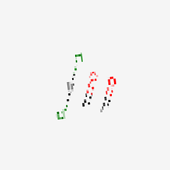 [C]=O.[C]=O.[Cl][Ir][Cl]